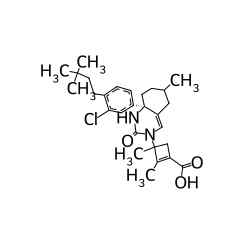 CC1=C(C(=O)O)CC1(C)N1C=C2CC(C)CC[C@]2(c2ccc(CCC(C)(C)C)c(Cl)c2)NC1=O